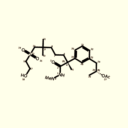 CNNC(=O)[C@](C)(CCCC(C)(C)CS(=O)(=O)CCO)c1cccc(C[C@@H](C)OC(C)=O)c1